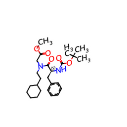 COC(=O)CN(CCC1CCCCC1)C(=O)[C@H](Cc1ccccc1)NC(=O)OC(C)(C)C